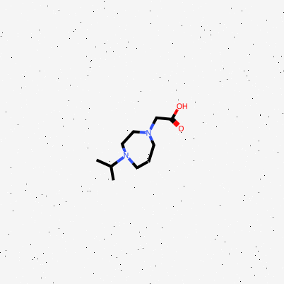 CC(C)N1CCCN(CC(=O)O)CC1